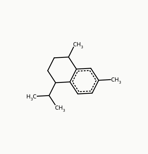 Cc1ccc2c(c1)C(C)CCC2C(C)C